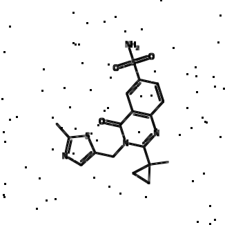 Cc1ncc(Cn2c(C3(C)CC3)nc3ccc(S(N)(=O)=O)cc3c2=O)s1